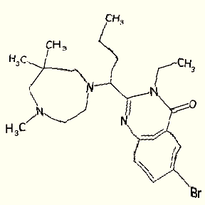 CCCC(c1nc2ccc(Br)cc2c(=O)n1CC)N1CCN(C)CC(C)(C)C1